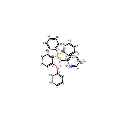 [Br-].c1ccc(Oc2ccccc2[P+](Cc2ccccn2)(c2ccccc2)c2ccccc2)cc1